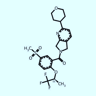 C[C@H](Oc1ccc(S(C)(=O)=O)cc1C(=O)N1Cc2ccc(C3CCOCC3)nc2C1)C(F)(F)F